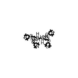 CN1C(C)(C)CC(OC2=NN(OC3CC(C)(C)N(C)C(C)(C)C3)NC(NCCNC3=CC(OC4CC(C)(C)N(C)C(C)(C)C4)=NN(OC4CC(C)(C)N(C)C(C)(C)C4)N3)=C2)CC1(C)C